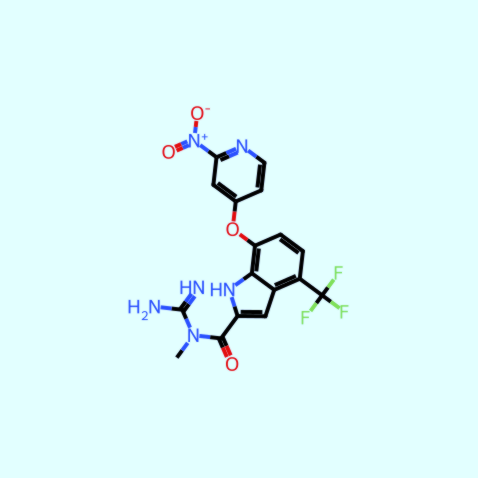 CN(C(=N)N)C(=O)c1cc2c(C(F)(F)F)ccc(Oc3ccnc([N+](=O)[O-])c3)c2[nH]1